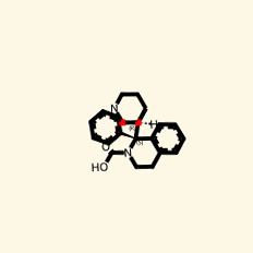 O=C(O)N1CCc2ccccc2[C@@]1(c1ccccc1)[C@H]1CN2CCC1CC2